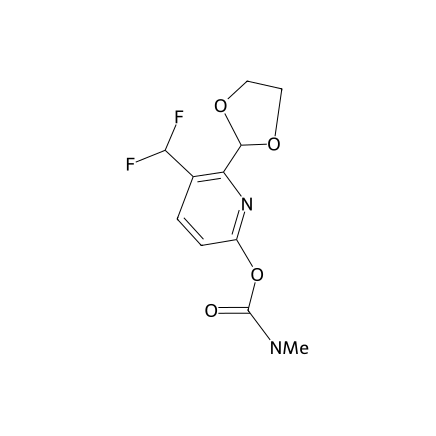 CNC(=O)Oc1ccc(C(F)F)c(C2OCCO2)n1